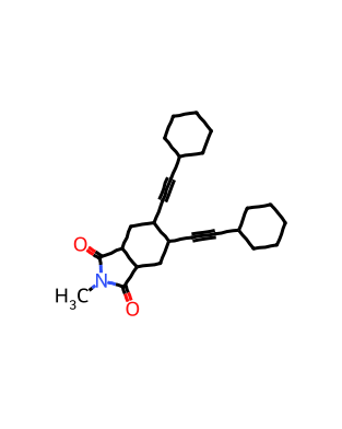 CN1C(=O)C2CC(C#CC3CCCCC3)C(C#CC3CCCCC3)CC2C1=O